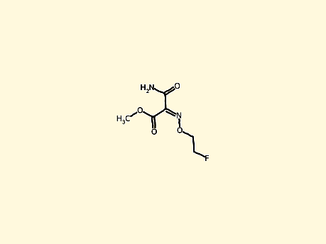 COC(=O)/C(=N\OCCF)C(N)=O